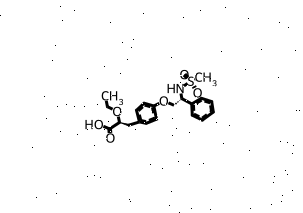 CCO[C@@H](Cc1ccc(OC[C@H](NS(C)(=O)=O)c2ccccc2)cc1)C(=O)O